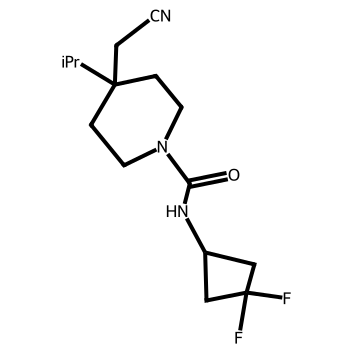 CC(C)C1(CC#N)CCN(C(=O)NC2CC(F)(F)C2)CC1